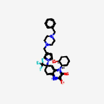 O=c1[nH]c2c(n([C@@H]3CCCC[C@@H]3O)c1=O)=CC(n1ccc(CN3CCN(Cc4ccccc4)CC3)c1)(C(F)(F)F)CC=2